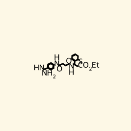 CCOC(=O)CC(NC(=O)CCC(=O)Nc1ccc(C(=N)N)cc1)C1=CC=CCC1=S